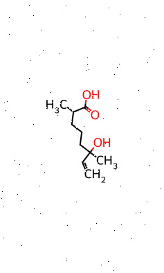 C=CC(C)(O)CCCC(C)C(=O)O